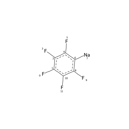 Fc1c(F)c(F)[c]([Na])c(F)c1F